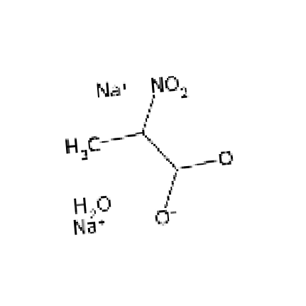 CC(C([O-])[O-])[N+](=O)[O-].O.[Na+].[Na+]